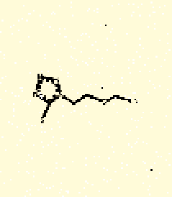 N#CCSCCn1nnnc1S